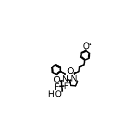 COc1ccc(CCCC(=O)N2CCCC2N(Cc2ccccc2)C(=O)C(F)(F)CO)cc1